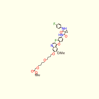 COc1cc2c(Oc3ccc(NC(=O)C4(C(=O)Nc5ccc(F)cc5)CC4)cc3F)ccnc2cc1OCCCCOCCCCOCC(=O)OC(C)(C)C